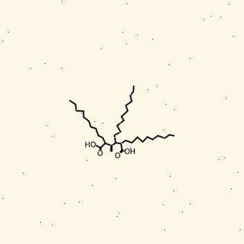 C=C(C(CCCCCCCCCC)C(=O)O)C(CCCCCCCCCCC)C(CCCCCCCCCC)C(=O)O